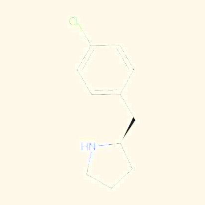 Clc1ccc(C[C@H]2CCCN2)cc1